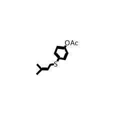 CC(=O)Oc1ccc(SCC=C(C)C)cc1